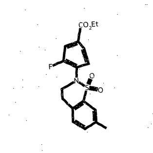 CCOC(=O)c1ccc(N2CCc3ccc(C)cc3S2(=O)=O)c(F)c1